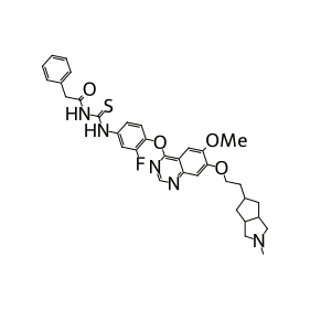 COc1cc2c(Oc3ccc(NC(=S)NC(=O)Cc4ccccc4)cc3F)ncnc2cc1OCCC1CC2CN(C)CC2C1